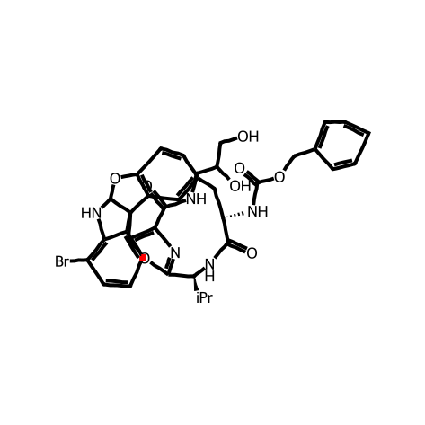 CC(C)[C@@H]1NC(=O)[C@@H](NC(=O)OCc2ccccc2)Cc2ccc3c(c2)C2(c4cccc(Br)c4NC2O3)c2oc1nc2C(=O)NCC(O)CO